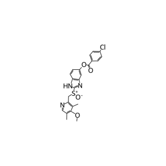 COc1c(C)cnc(C[S+]([O-])c2nc3cc(OC(=O)c4ccc(Cl)cc4)ccc3[nH]2)c1C